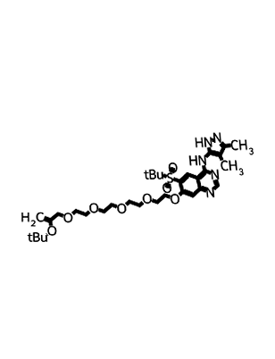 C=C(COCCOCCOCCOCCOc1cc2ncnc(Nc3[nH]nc(C)c3C)c2cc1S(=O)(=O)C(C)(C)C)OC(C)(C)C